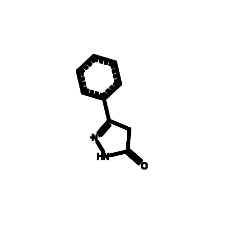 O=C1CC(c2ccccc2)=[N+]N1